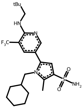 Cc1c(S(N)(=O)=O)cc(-c2cnc(NCC(C)(C)C)c(C(F)(F)F)c2)n1CC1CCCCC1